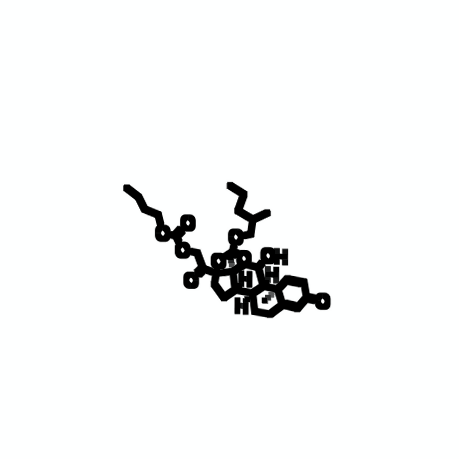 CCCCOC(=O)OCC(=O)[C@@]1(OC(=O)OCC(C)CCC)CC[C@H]2[C@@H]3CCC4=CC(=O)C=C[C@]4(C)[C@H]3C(O)C[C@@]21C